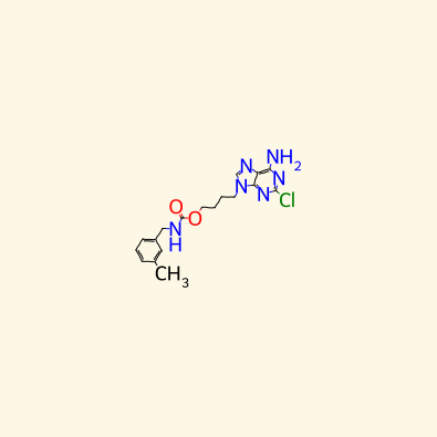 Cc1cccc(CNC(=O)OCCCCn2cnc3c(N)nc(Cl)nc32)c1